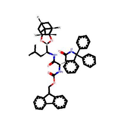 CC(C)C[C@H](NC(=O)[C@H](CC(=O)NC(c1ccccc1)(c1ccccc1)c1ccccc1)NC(=O)OCC1c2ccccc2-c2ccccc21)B1O[C@@H]2C[C@@H]3C[C@@H](C3(C)C)[C@]2(C)O1